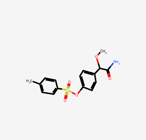 COC(C(N)=O)c1ccc(OS(=O)(=O)c2ccc(C)cc2)cc1